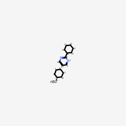 CCCC[C@H]1CC[C@H](c2cnc(C3CCCCC3)nc2)CC1